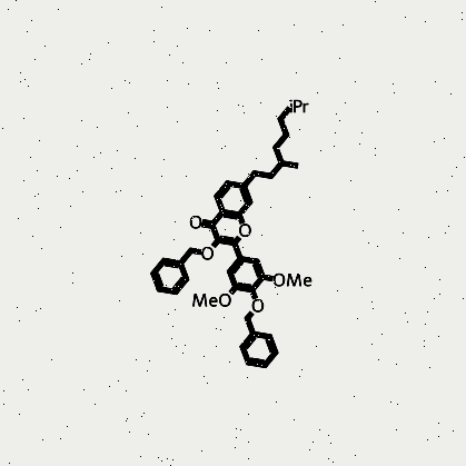 COc1cc(-c2oc3cc(CCC(C)CCCC(C)C)ccc3c(=O)c2OCc2ccccc2)cc(OC)c1OCc1ccccc1